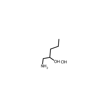 CCCC(O)CN.Cl